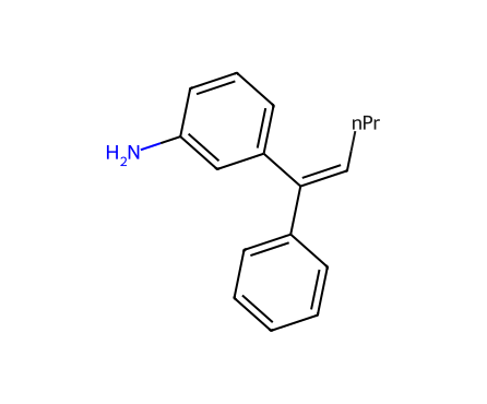 CCC/C=C(/c1ccccc1)c1cccc(N)c1